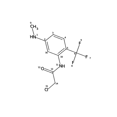 CNc1ccc(C(F)(F)F)c(NC(=O)CCl)c1